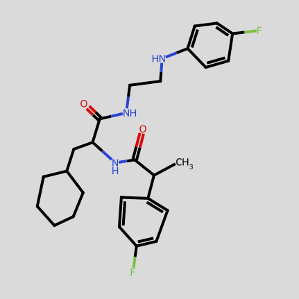 CC(C(=O)NC(CC1CCCCC1)C(=O)NCCNc1ccc(F)cc1)c1ccc(F)cc1